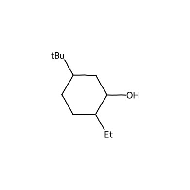 CCC1CCC(C(C)(C)C)CC1O